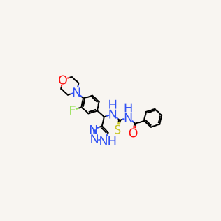 O=C(NC(=S)NC(c1ccc(N2CCOCC2)c(F)c1)c1c[nH]nn1)c1ccccc1